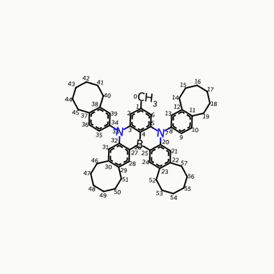 Cc1cc2c3c(c1)N(c1ccc4c(c1)CCCCCC4)c1cc4c(cc1B3c1cc3c(cc1N2c1ccc2c(c1)CCCCCC2)CCCCCC3)CCCCCC4